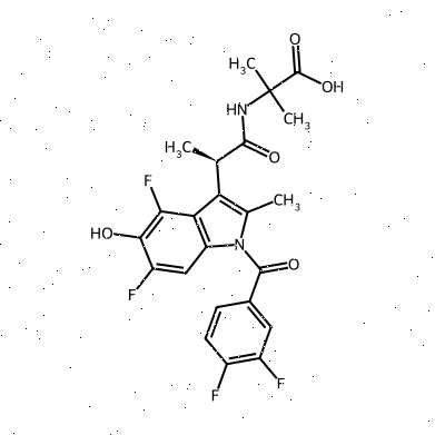 Cc1c([C@@H](C)C(=O)NC(C)(C)C(=O)O)c2c(F)c(O)c(F)cc2n1C(=O)c1ccc(F)c(F)c1